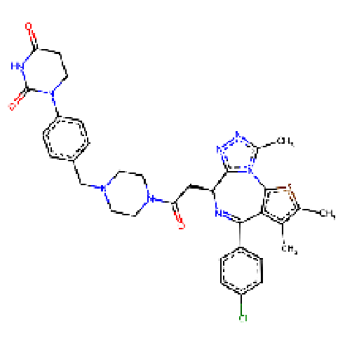 Cc1sc2c(c1C)C(c1ccc(Cl)cc1)=N[C@@H](CC(=O)N1CCN(Cc3ccc(N4CCC(=O)NC4=O)cc3)CC1)c1nnc(C)n1-2